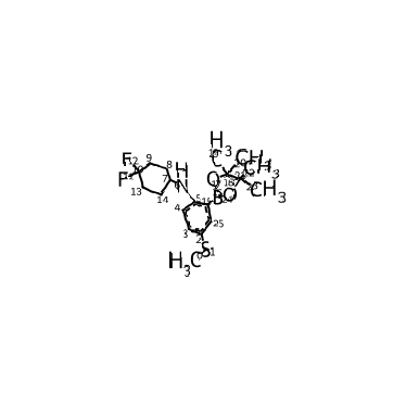 CSc1ccc(NC2CCC(F)(F)CC2)c(B2OC(C)(C)C(C)(C)O2)c1